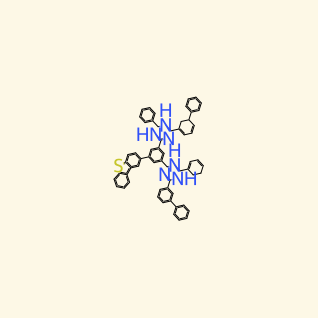 C1=CCCC(C2NC(c3cc(C4=NC(C5=CC=CC(c6ccccc6)C5)NC(c5ccccc5)N4)cc(-c4ccc5sc6ccccc6c5c4)c3)=NC(c3cccc(-c4ccccc4)c3)N2)=C1